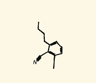 CCCCc1cccc(C)c1C#N